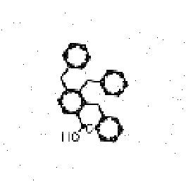 O=C(O)c1ccc(Cc2ccccc2)c(Cc2ccccc2)c1Cc1ccccc1